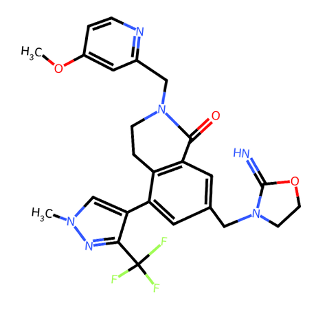 COc1ccnc(CN2CCc3c(cc(CN4CCOC4=N)cc3-c3cn(C)nc3C(F)(F)F)C2=O)c1